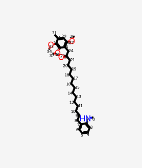 CNc1ccccc1CCCCCCCCCCCCCCC(=O)Cc1c(OC)cc(C)c(OC)c1OC